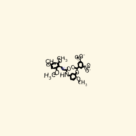 COc1cc(OC)c(/C=C/C(=O)Nc2ccc(OC)c(OC(=O)c3cc([N+](=O)[O-])cc([N+](=O)[O-])c3)c2)c(OC)c1